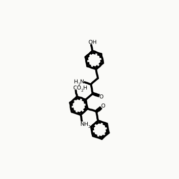 Nc1ccc(C(=O)O)c(C(=O)C(N)Cc2ccc(O)cc2)c1C(=O)c1ccccc1